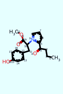 CCCC(=O)c1cccn1C(Cc1ccc(O)cc1)C(=O)OC